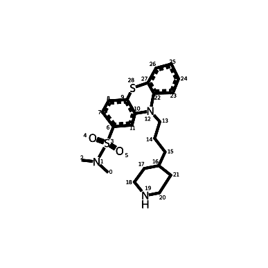 CN(C)S(=O)(=O)c1ccc2c(c1)N(CCCC1CCNCC1)c1ccccc1S2